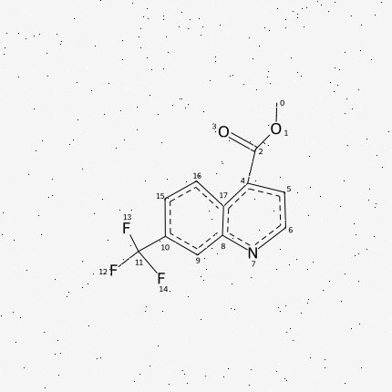 COC(=O)c1ccnc2cc(C(F)(F)F)ccc12